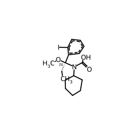 CC[C@](OC)(c1ccccc1I)N(C(=O)O)C1CCCCC1